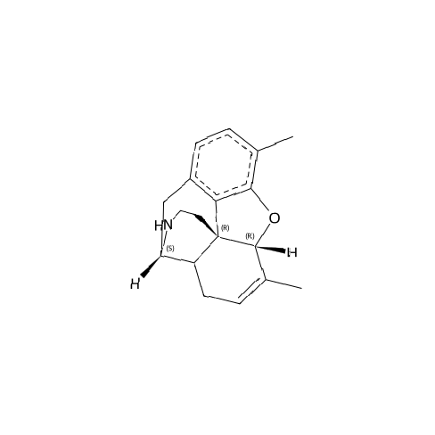 CC1=CCC2[C@@H]3Cc4ccc(C)c5c4[C@]2(CCN3)[C@@H]1O5